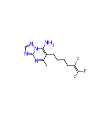 Cc1nc2ncnn2c(N)c1CCCCC(F)=C(F)F